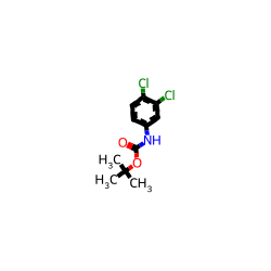 CC(C)(C)OC(=O)Nc1ccc(Cl)c(Cl)c1